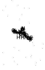 O=C(Nc1ccc(C(F)(F)F)cc1)Nc1cccc(-c2sc(NCCN3CCOCC3)nc2-c2ccncc2)c1